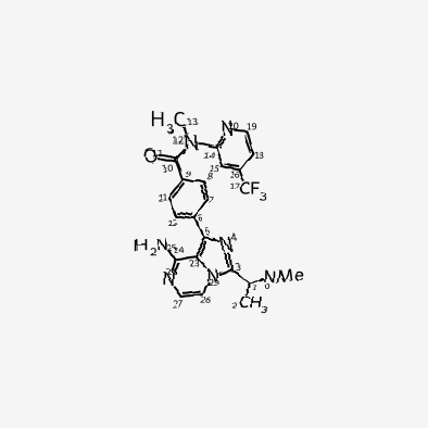 CN[C@@H](C)c1nc(-c2ccc(C(=O)N(C)c3cc(C(F)(F)F)ccn3)cc2)c2c(N)nccn12